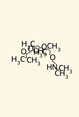 CC(C)NCCOCCC(C)(C)OCCC(C)(C)OCC(=O)C(C)C